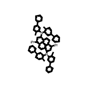 Cc1ccc(-c2ccccc2)cc1N(c1cc(-c2ccccc2)ccc1C)c1cc(C(C)C)c2ccc3c(N(c4cc(-c5ccccc5)ccc4C)c4cc(-c5ccccc5)ccc4C)cc(C(C)C)c4ccc1c2c43